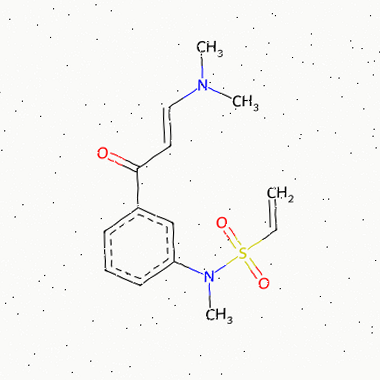 C=CS(=O)(=O)N(C)c1cccc(C(=O)C=CN(C)C)c1